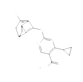 COC(=O)c1cnc(NC2=C3C4CC(O)=C2C3C4)nc1C1CC1